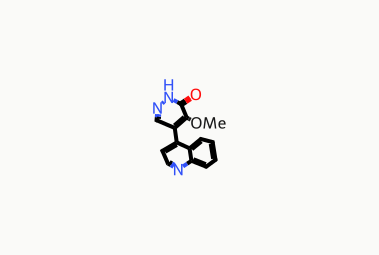 COc1c(-c2ccnc3ccccc23)cn[nH]c1=O